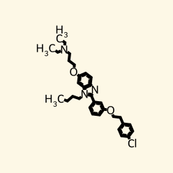 CCCCn1c(-c2cccc(OCCc3ccc(Cl)cc3)c2)nc2ccc(OCCCN(CC)CC)cc21